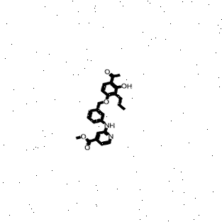 CCCc1c(OCc2cccc(Nc3cc(C(=O)OC)ccn3)c2)ccc(C(C)=O)c1O